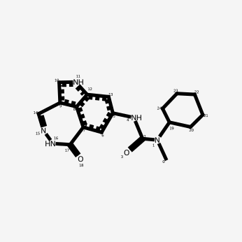 CN(C(=O)Nc1cc2c3c(c[nH]c3c1)C=NNC2=O)C1CCCCC1